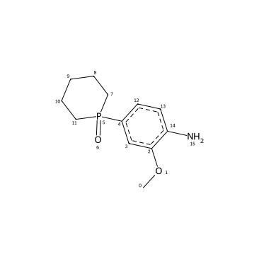 COc1cc(P2(=O)CCCCC2)ccc1N